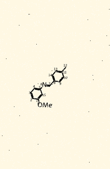 COc1cccc(N=Cc2ccc(C)cc2)c1